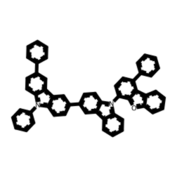 c1ccc(-c2ccc3c(c2)c2cc(-c4ccc5c(c4)c4ccccc4n5-c4ccc(-c5ccccc5)c5c4oc4ccccc45)ccc2n3-c2ccccc2)cc1